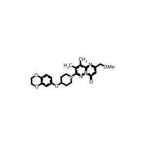 COCc1cc(=O)n2nc(N3CCC(Oc4ccc5c(c4)OCCO5)CC3)c(C)c(C)c2n1